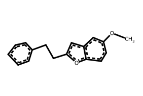 COc1ccc2oc(CCc3ccccc3)cc2c1